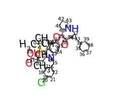 CC(C)(C)Sc1c(CC(C)(C)C(=O)O)n(Cc2ccc(Cl)cc2)c2ccc(OC(C(=O)[C@@H]3CC3c3ccccc3)C3CCCN3)cc12